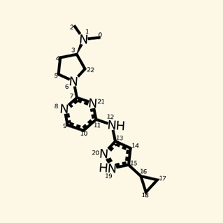 CN(C)[C@@H]1CCN(c2nccc(Nc3cc(C4CC4)[nH]n3)n2)C1